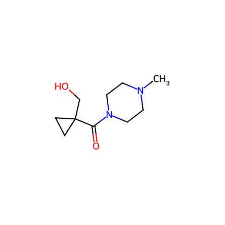 CN1CCN(C(=O)C2(CO)CC2)CC1